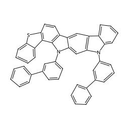 c1ccc(-c2cccc(-n3c4ccccc4c4cc5c6ccc7sc8ccccc8c7c6n(-c6cccc(-c7ccccc7)c6)c5cc43)c2)cc1